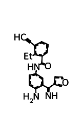 C#Cc1cccc(C(=O)Nc2ccc(N)c(C(=N)c3ccoc3)c2)c1CC